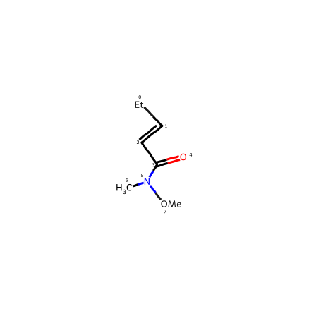 CCC=CC(=O)N(C)OC